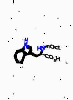 CCCCCCCCN[C@@H](Cc1c[nH]c2ccccc12)C(=O)O